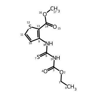 CCOC(=O)NC(=S)Nc1ccsc1C(=O)OC